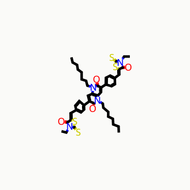 CCCCCCCCn1c(=O)c(-c2ccc(/C=C3\SC(=S)N(CC)C3=O)cc2)cc2c1cc(-c1ccc(/C=C3\SC(=S)N(CC)C3=O)cc1)c(=O)n2CCCCCCCC